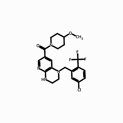 COC1CCN(C(=O)c2cnc3c(c2)N(Cc2cc(Cl)ccc2C(F)(F)F)CCN3)CC1